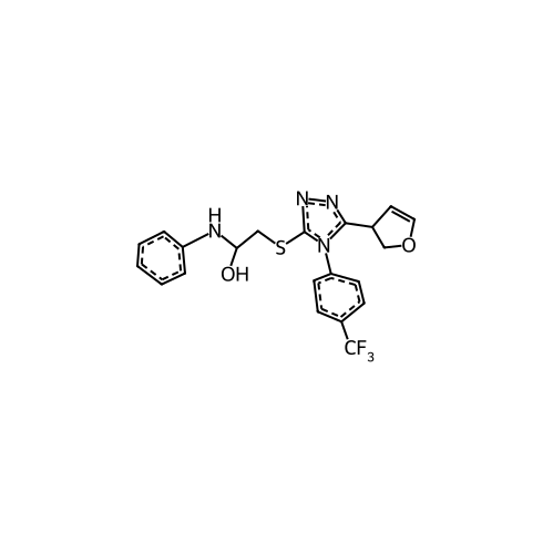 OC(CSc1nnc(C2C=COC2)n1-c1ccc(C(F)(F)F)cc1)Nc1ccccc1